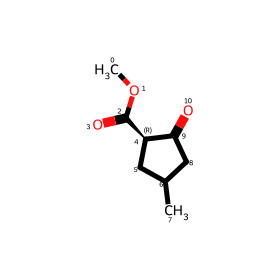 COC(=O)[C@@H]1CC(C)CC1=O